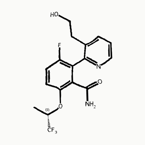 C[C@H](Oc1ccc(F)c(-c2ncccc2CCO)c1C(N)=O)C(F)(F)F